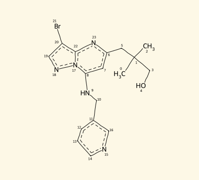 CC(C)(CO)Cc1cc(NCc2cccnc2)n2ncc(Br)c2n1